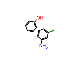 Nc1cccc(F)c1.Oc1ccccc1